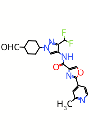 Cc1cc(-c2nc(C(=O)Nc3cn(C4CCC(C=O)CC4)nc3C(F)F)co2)ccn1